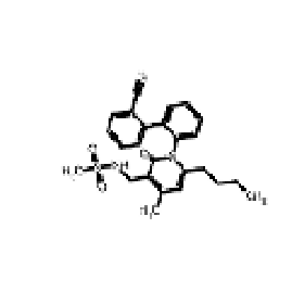 CCCCc1cc(C)c(CNS(C)(=O)=O)c(=O)n1-c1ccccc1-c1ccccc1C#N